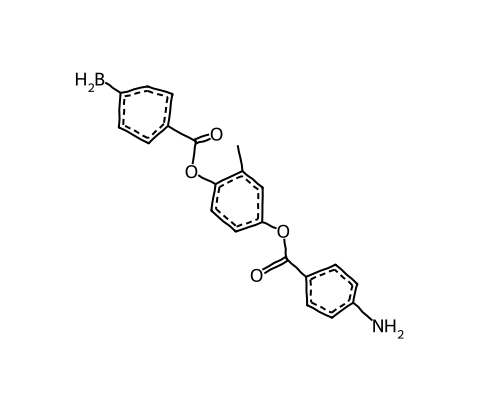 Bc1ccc(C(=O)Oc2ccc(OC(=O)c3ccc(N)cc3)cc2C)cc1